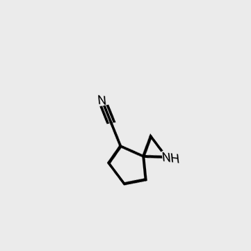 N#CC1CCCC12CN2